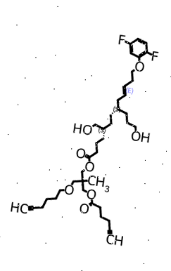 C#CCCCCOCC(C)(COC(=O)CCCC#C)COC(=O)CCC[C@H](CO)CC[C@H](C/C=C/CCOc1cc(F)ccc1F)CCCO